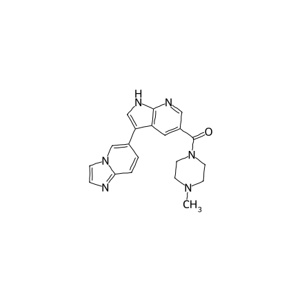 CN1CCN(C(=O)c2cnc3[nH]cc(-c4ccc5nccn5c4)c3c2)CC1